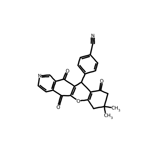 CC1(C)CC(=O)C2=C(C1)OC1=C(C(=O)c3cnccc3C1=O)C2c1ccc(C#N)cc1